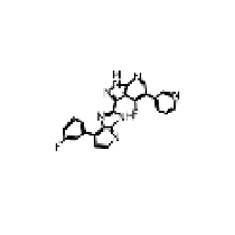 Fc1cccc(-c2ccnc3[nH]c(-c4n[nH]c5ncc(-c6cccnc6)c(F)c45)nc23)c1